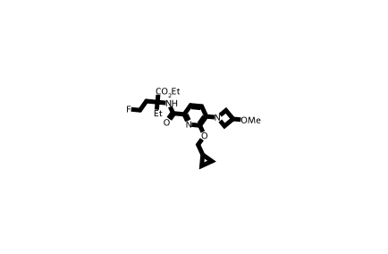 CCOC(=O)C(CC)(CCF)NC(=O)c1ccc(N2CC(OC)C2)c(OCC2CC2)n1